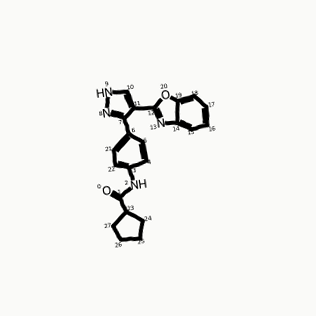 O=C(Nc1ccc(-c2n[nH]cc2-c2nc3ccccc3o2)cc1)C1CCCC1